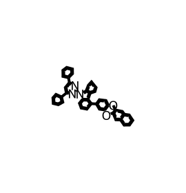 c1ccc(-c2cc(-c3ccccc3)nc(-n3c4ccccc4c4c(-c5ccc6c(c5)Oc5cc7ccccc7cc5O6)cccc43)n2)cc1